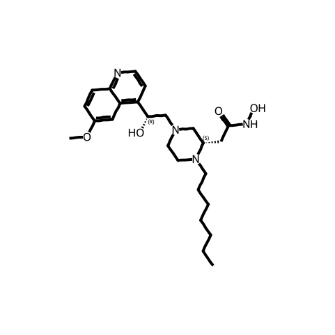 CCCCCCCN1CCN(C[C@H](O)c2ccnc3ccc(OC)cc23)C[C@@H]1CC(=O)NO